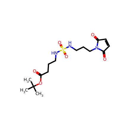 CC(C)(C)OC(=O)CCCNS(=O)(=O)NCCCN1C(=O)C=CC1=O